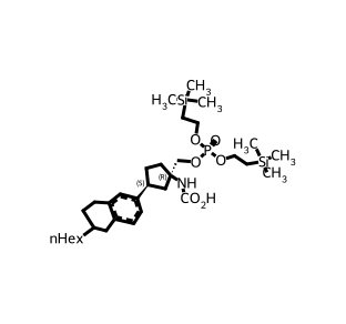 CCCCCCC1CCc2cc([C@H]3CC[C@@](COP(=O)(OCC[Si](C)(C)C)OCC[Si](C)(C)C)(NC(=O)O)C3)ccc2C1